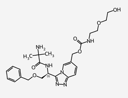 CC(C)(N)C(=O)N[C@H](COCc1ccccc1)c1nnc2ccc(COC(=O)NCCOCCO)cn12